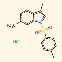 Cc1ccc(S(=O)(=O)n2cc(C)c3ccc(C(=O)O)cc32)cc1.Cl